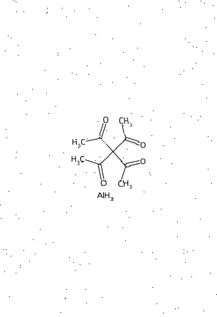 CC(=O)C(C(C)=O)(C(C)=O)C(C)=O.[AlH3]